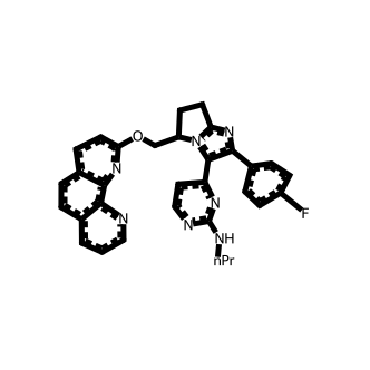 CCCNc1nccc(-c2c(-c3ccc(F)cc3)nc3n2C(COc2ccc4ccc5cccnc5c4n2)CC3)n1